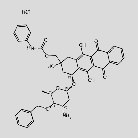 C[C@H]1O[C@@H](O[C@H]2CC(O)(COC(=O)Nc3ccccc3)Cc3c(O)c4c(c(O)c32)C(=O)c2ccccc2C4=O)C[C@H](N)[C@H]1OCc1ccccc1.Cl